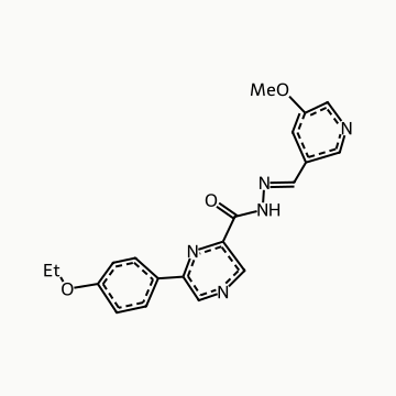 CCOc1ccc(-c2cncc(C(=O)NN=Cc3cncc(OC)c3)n2)cc1